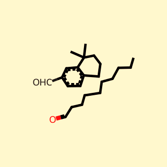 CC1(C)CCCc2ccc(C=O)cc21.CCCCCCCCCC=O